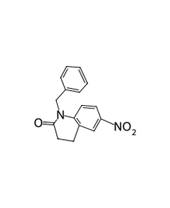 O=C1CCc2cc([N+](=O)[O-])ccc2N1Cc1ccccc1